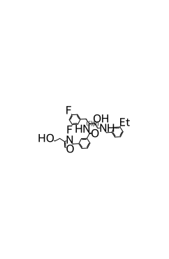 CCc1cccc(CNC[C@@H](O)[C@H](Cc2cc(F)cc(F)c2)NC(=O)c2cccc(-c3nc(CCO)co3)c2)c1